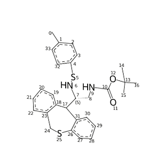 Cc1ccc(SN[C@H](CNC(=O)OC(C)(C)C)C2c3ccccc3CSc3ccccc32)cc1